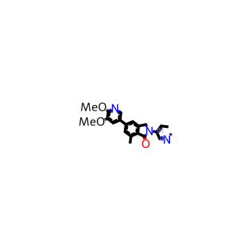 C/C=C(\C=N/C)N1Cc2cc(-c3cnc(OC)c(OC)c3)cc(C)c2C1=O